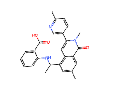 Cc1cc(C(C)Nc2ccccc2C(=O)O)c2cc(-c3ccc(C)nc3)n(C)c(=O)c2c1